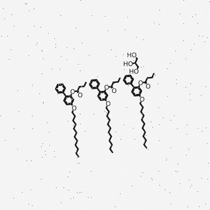 CCCCCCCCCCCCOc1ccc(-c2ccccc2)c(OC(=O)CCC)c1.CCCCCCCCCCCCOc1ccc(-c2ccccc2)c(OC(=O)CCC)c1.CCCCCCCCCCCCOc1ccc(-c2ccccc2)c(OC(=O)CCC)c1.OCC(O)CO